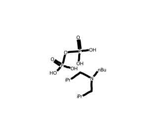 CCCCN(CC(C)C)CC(C)C.O=P(O)(O)OP(=O)(O)O